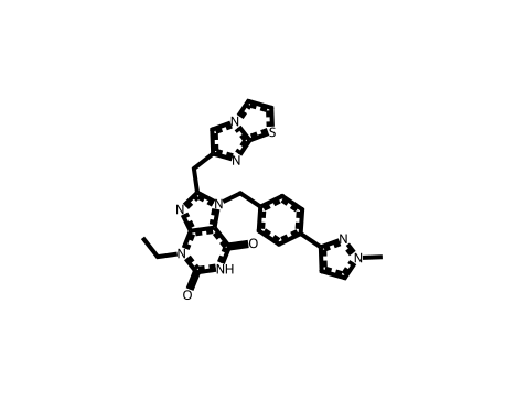 CCn1c(=O)[nH]c(=O)c2c1nc(Cc1cn3ccsc3n1)n2Cc1ccc(-c2ccn(C)n2)cc1